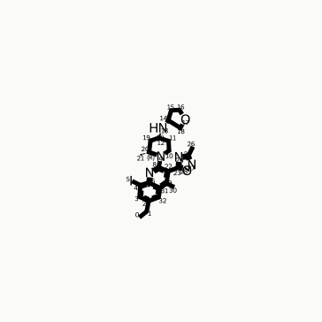 CCc1cc(I)c2nc(N3CC[C@@H](NC4CCOC4)C[C@H]3C)c(-c3nc(C)no3)c(C)c2c1